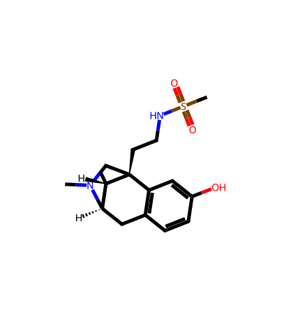 C[C@H]1[C@H]2Cc3ccc(O)cc3[C@@]1(CCNS(C)(=O)=O)CN2C